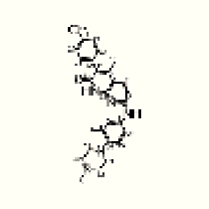 Cc1cc(Nc2ncc3c(C)c(-c4ccc(Cl)cc4)c(=O)[nH]c3n2)ccc1N1CCN(C)CC1